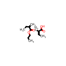 C=C(CC)C(=O)OCCC.CC=C(C)C(=O)O